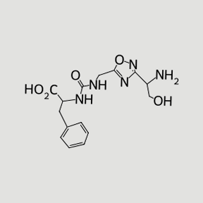 NC(CO)c1noc(CNC(=O)NC(Cc2ccccc2)C(=O)O)n1